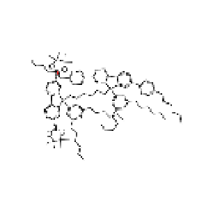 CCCCCCc1ccc(-c2ccc3c(c2)C(CCCCCCC2(c4cc(CCCCCC)cc(CCCCCC)c4)c4cc(B5OC(C)(C)C(C)(C)O5)ccc4-c4ccc(B5OC(C)(C)C(C)(C)O5)cc42)(c2cc(CCCCCC)cc(CCCCCC)c2)c2cc(-c4ccc(CCCCCC)cc4)ccc2-3)cc1